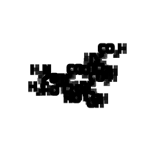 C=CC(N)=O.O=C(O)CNC(CO)(CO)CO.O=C(O)CNC(CO)(CO)CO.O=C(O)CNC(CO)(CO)CO